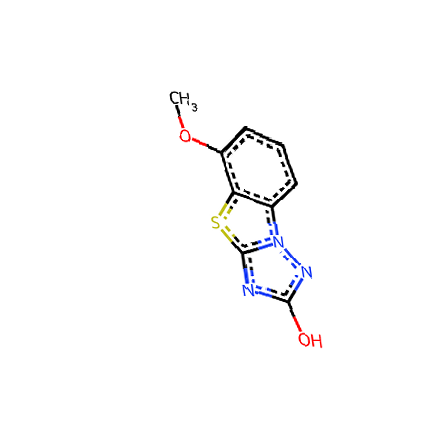 COc1cccc2c1sc1nc(O)nn12